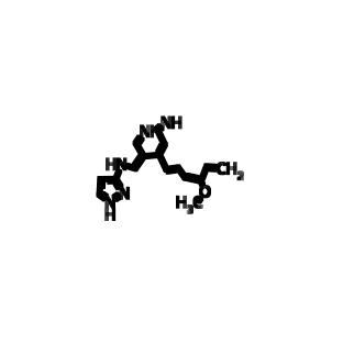 C=C\C(=C/C=C/C(=C/C=N)C(/C=N)=C/Nc1cc[nH]n1)OC